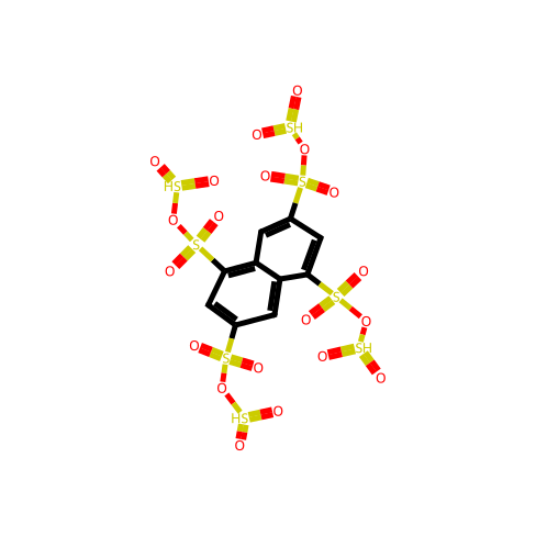 O=[SH](=O)OS(=O)(=O)c1cc(S(=O)(=O)O[SH](=O)=O)c2cc(S(=O)(=O)O[SH](=O)=O)cc(S(=O)(=O)O[SH](=O)=O)c2c1